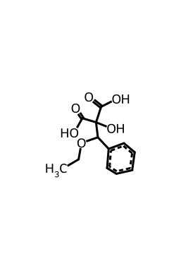 CCOC(c1ccccc1)C(O)(C(=O)O)C(=O)O